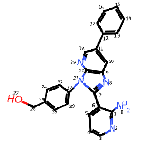 Nc1ncccc1-c1nc2cc(-c3ccccc3)cnc2n1-c1ccc(CO)cc1